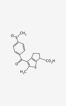 Cc1sc2c(c1C(=O)c1ccc([S+](C)[O-])cc1)CCC2C(=O)O